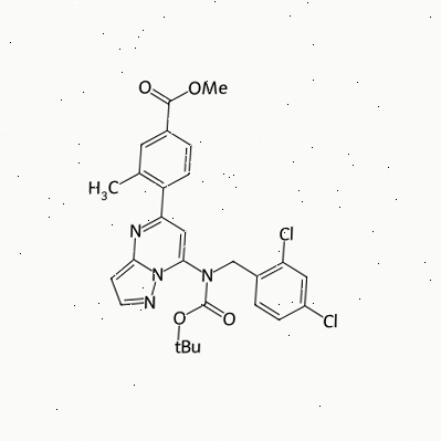 COC(=O)c1ccc(-c2cc(N(Cc3ccc(Cl)cc3Cl)C(=O)OC(C)(C)C)n3nccc3n2)c(C)c1